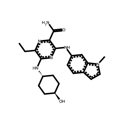 CCc1nc(C(N)=O)c(Nc2ccc3ccn(C)c3c2)nc1N[C@H]1CC[C@H](O)CC1